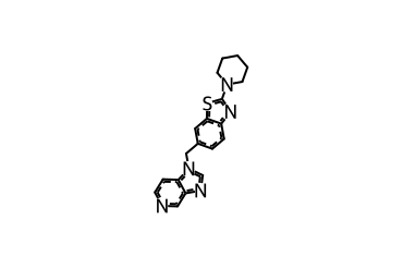 c1cc2c(cn1)ncn2Cc1ccc2nc(N3CCCCC3)sc2c1